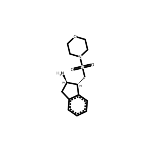 N[C@@H]1Cc2ccccc2[C@H]1CS(=O)(=O)N1CCOCC1